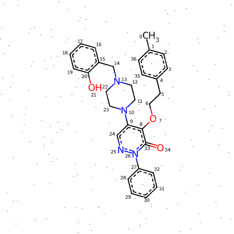 Cc1ccc(CCOc2c(N3CCN(Cc4ccccc4O)CC3)cnn(-c3ccccc3)c2=O)cc1